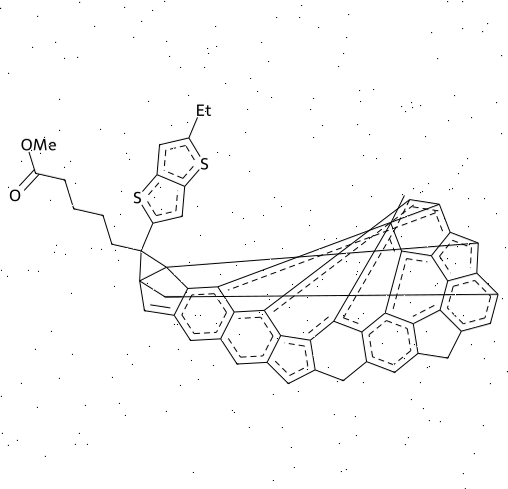 CCc1cc2sc(C3(CCCCC(=O)OC)C45C=c6cc7cc8cc9c%10c8c8c7c7c6C43c3c4c(cc6c%11c%12c(cc(c%13c%12c%12c(c3c7c8c%12c%10%13)c4%11)C9)C6)C5)cc2s1